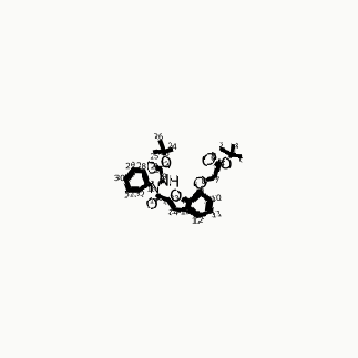 CC(C)(C)OC(=O)COc1cccc2cc(C(=O)N(NC(=O)OC(C)(C)C)c3ccccc3)oc12